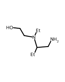 CCC(CN)N(CC)CCO